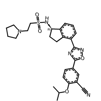 CC(C)Oc1ccc(-c2nc(-c3cccc4c3CC[C@H]4NS(=O)(=O)CCN3CCCC3)no2)cc1C#N